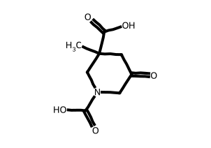 CC1(C(=O)O)CC(=O)CN(C(=O)O)C1